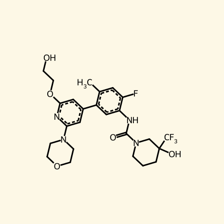 Cc1cc(F)c(NC(=O)N2CCCC(O)(C(F)(F)F)C2)cc1-c1cc(OCCO)nc(N2CCOCC2)c1